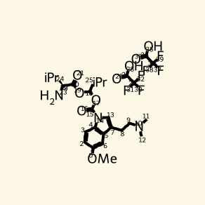 COc1ccc2c(c1)c(CCN(C)C)cn2C(=O)OC(OC(=O)[C@@H](N)C(C)C)C(C)C.O=C(O)C(F)(F)F.O=C(O)C(F)(F)F